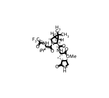 COC(=O)[C@H](C[C@@H]1CCNC1=O)NC(=O)[C@@H]1[C@@H]2[C@H](CN1C(=O)[C@@H](NC(=O)C(F)(F)F)C(C)C)C2(C)C